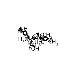 COc1cc(C)c(S(=O)(=O)N(Cc2cc(C(=O)N(C)Cc3ccc(C4=NCCN4)cc3)co2)C2CC2)c(C)c1.O=C(O)C(F)(F)F